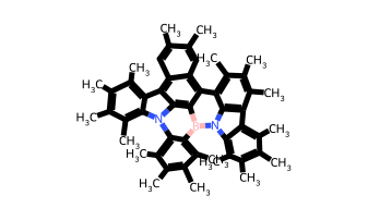 Cc1cc2c3c4c5c(c2cc1C)c1c(C)c(C)c(C)c(C)c1n5-c1c(C)c(C)c(C)c(C)c1B4n1c2c(C)c(C)c(C)c(C)c2c2c(C)c(C)c(C)c-3c21